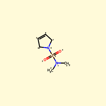 CN(C)S(=O)(=O)N1CC=CC1